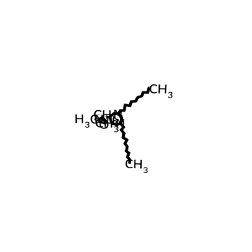 CCCCCCCCCCCCN1CCN(CCCCCCCCCCCC)CCN(C(=O)C[N+](C)(C)C)CC1